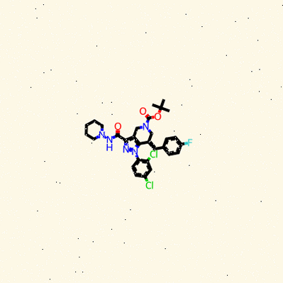 CC(C)(C)OC(=O)N1CC(=Cc2ccc(F)cc2)c2c(c(C(=O)NN3CCCCC3)nn2-c2ccc(Cl)cc2Cl)C1